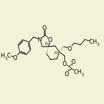 CCCCOC[C@]1(COS(C)(=O)=O)CCC[C@@]2(CN(Cc3ccc(OC)cc3)C(=O)O2)C1